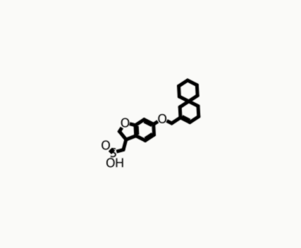 O=S(O)CC1COc2cc(OCC3=CCCC4(CCCCC4)C3)ccc21